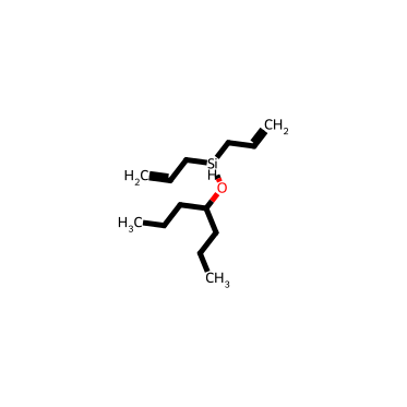 C=CC[SiH](CC=C)OC(CCC)CCC